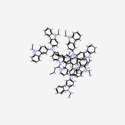 C=C/C=C(\C=C(/C)C(=C)/C=C(\C=C/NC(CCC)n1c2ccc(N(c3ccc4c(c3)c3c(n4CC)CCC=C3)c3ccc4c(c3)c3ccccc3n4CC)cc2c2cc(N(c3ccc4c(c3)c3ccccc3n4CC)c3ccc4c(c3)c3ccccc3n4CC)ccc21)N(c1ccc2c(c1)c1ccccc1n2CC)c1ccc2c(c1)c1ccccc1n2CC)N(C)c1ccc2c(c1)c1ccccc1n2CC